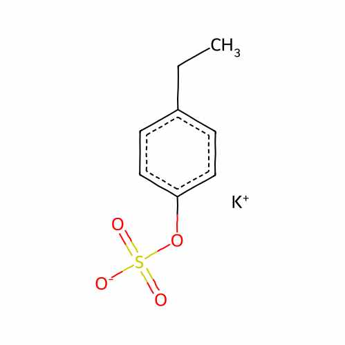 CCc1ccc(OS(=O)(=O)[O-])cc1.[K+]